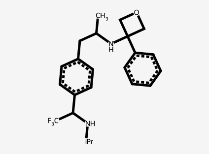 CC(C)NC(c1ccc(CC(C)NC2(c3ccccc3)COC2)cc1)C(F)(F)F